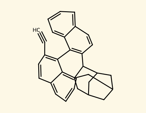 C#Cc1ccc2ccccc2c1-c1c(C2C3CC4CC(C3)CC2C4)ccc2ccccc12